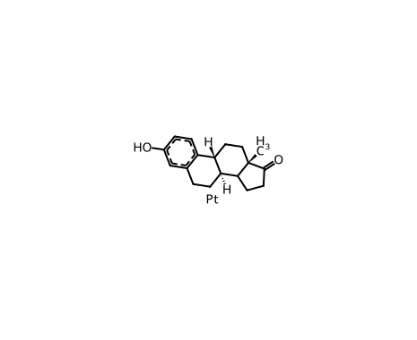 C[C@]12CC[C@H]3c4ccc(O)cc4CC[C@@H]3C1CCC2=O.[Pt]